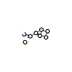 c1ccc(-n2c3ccncc3c3cc(-c4ccc(-c5cccc6c5-c5ccccc5-c5ccccc5-c5ccccc5-6)cc4)ccc32)cc1